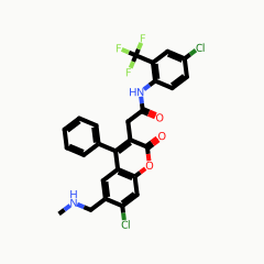 CNCc1cc2c(-c3ccccc3)c(CC(=O)Nc3ccc(Cl)cc3C(F)(F)F)c(=O)oc2cc1Cl